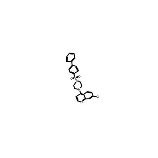 O=S(=O)(c1ccc(-c2ccccc2)cc1)N1CCN(c2ccnc3cc(Cl)ccc23)CC1